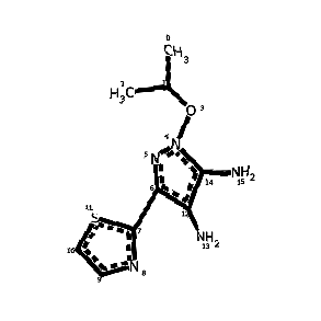 CC(C)On1nc(-c2nccs2)c(N)c1N